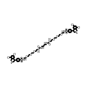 CN1Cc2c(Cl)cc(Cl)cc2C(c2ccc(S(=O)(=O)NCCOCCOCCOCCNC(=O)NCCCCNC(=O)NCCOCCOCCOCCNS(=O)(=O)c3ccc(C4CN(C)Cc5c(Cl)cc(Cl)cc54)cc3)cc2)C1